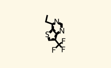 CCc1ncnc2c(C(F)(F)F)csc12